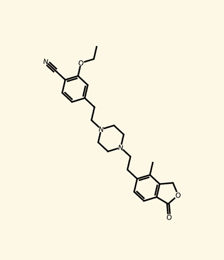 CCOc1cc(CCN2CCN(CCc3ccc4c(c3C)COC4=O)CC2)ccc1C#N